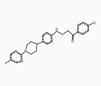 O=C(CSNc1ccc(N2CCN(c3ncc(F)cn3)CC2)cc1)c1ccc(Cl)cc1